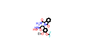 CCOc1cc(C(CC(=O)NO)N2C(=O)c3[c]cccc3C2C(N)=O)ccc1OC(F)F